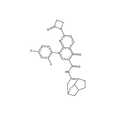 O=C(NC1=C2CCC3CC(C1)CC23)c1cn(-c2ccc(F)cc2F)c2nc(N3CCC3=O)ccc2c1=O